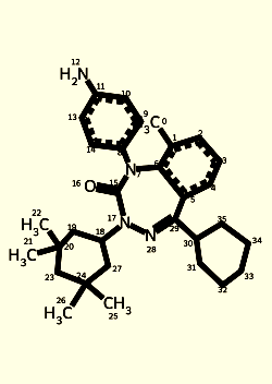 Cc1cccc2c1N(c1ccc(N)cc1)C(=O)N(C1CC(C)(C)CC(C)(C)C1)N=C2C1CCCCC1